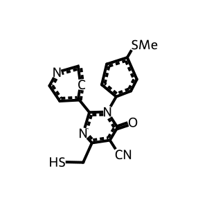 CSc1ccc(-n2c(-c3ccncc3)nc(CS)c(C#N)c2=O)cc1